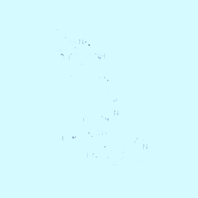 Cc1ncsc1-c1ccc([C@H](C)NC(=O)[C@@H]2C[C@@H](O)CN2C(=O)[C@@H](c2cc(OCCN3CC(c4[nH]c5nnc(-c6ccccc6O)cc5c4C4CC4)C3)no2)C(C)C)cc1